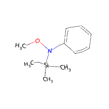 CON(c1ccccc1)[Si](C)(C)C